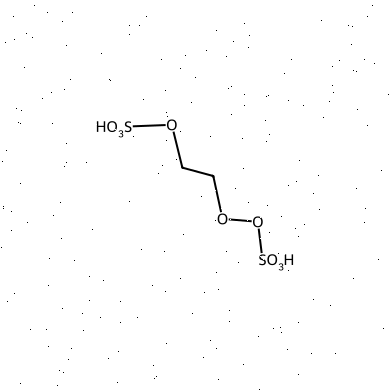 O=S(=O)(O)OCCOOS(=O)(=O)O